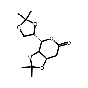 CC1(C)OCC([C@@H]2OC(=O)CC3OC(C)(C)OC32)O1